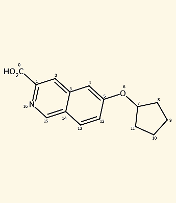 O=C(O)c1cc2cc(OC3CCCC3)ccc2cn1